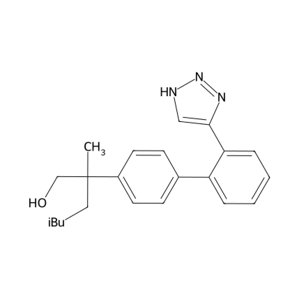 CCC(C)CC(C)(CO)c1ccc(-c2ccccc2-c2c[nH]nn2)cc1